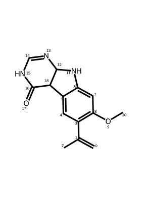 C=C(C)c1cc2c(cc1OC)NC1N=CNC(=O)C21